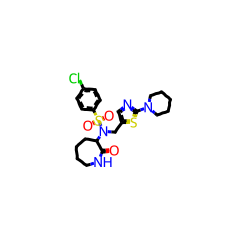 O=C1NCCCCC1N(Cc1cnc(N2CCCCC2)s1)S(=O)(=O)c1ccc(Cl)cc1